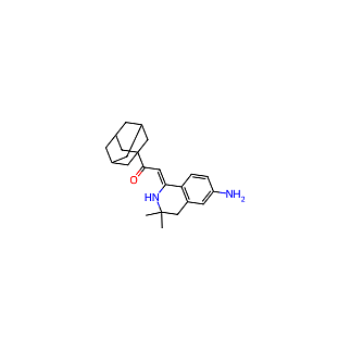 CC1(C)Cc2cc(N)ccc2/C(=C/C(=O)C23CC4CC(CC(C4)C2)C3)N1